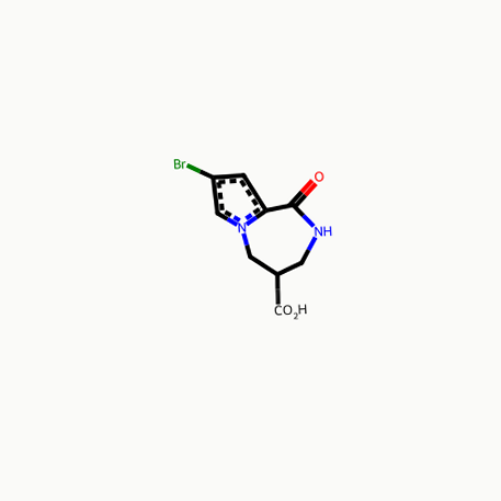 O=C1NCC(C(=O)O)Cn2cc(Br)cc21